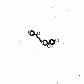 O=C(CCCN1CCC(O)(c2ccc(Cl)cc2)CC1)c1ccncc1